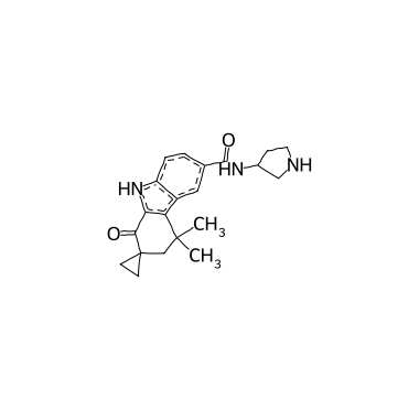 CC1(C)CC2(CC2)C(=O)c2[nH]c3ccc(C(=O)NC4CCNC4)cc3c21